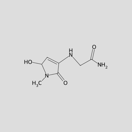 CN1C(=O)C(NCC(N)=O)=CC1O